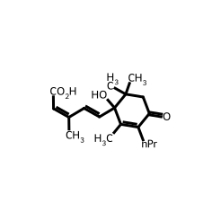 CCCC1=C(C)C(O)(/C=C/C(C)=C\C(=O)O)C(C)(C)CC1=O